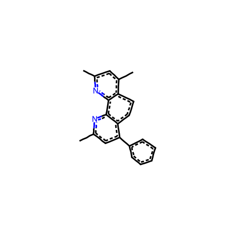 Cc1cc(C)c2ccc3c(-c4ccccc4)cc(C)nc3c2n1